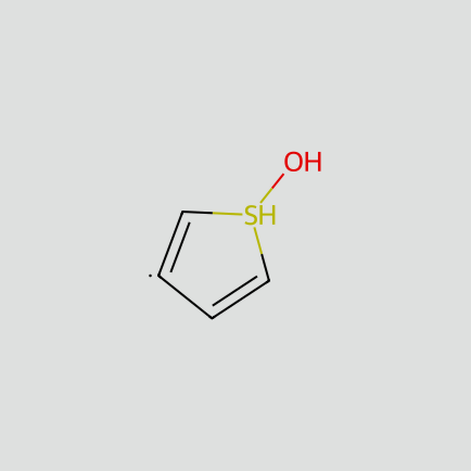 O[SH]1C=[C]C=C1